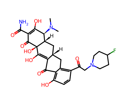 CN(C)[C@@H]1C(O)=C(C(N)=O)C(=O)[C@@]2(O)C(O)=C3C(=O)c4c(O)ccc(C(=O)CN5CCC(F)CC5)c4C[C@H]3C[C@@H]12